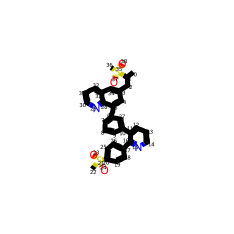 CC(Cc1cc(-c2cccc(-c3cccnc3-c3ccc(S(C)(=O)=O)cc3)c2)c2ncccc2c1)S(C)(=O)=O